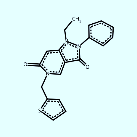 CCn1c2cc(=O)n(Cc3cccs3)cc2c(=O)n1-c1ccccc1